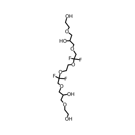 OCCOCC(O)COCC(F)(F)OCCOC(F)(F)COCC(O)COCCO